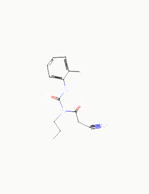 CCCN(C(=O)CC#N)C(=O)Nc1ccccc1C